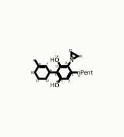 CCCCCc1cc(O)c(C2C=C(C)CCC2)c(O)c1N1CC1